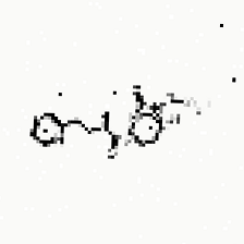 O=C(NCCc1ccccn1)[C@H]1CC[C@H]2CN1C(=O)N2OS(=O)(=O)O